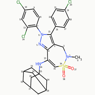 CN1Cc2c(nn(-c3ccc(Cl)cc3Cl)c2-c2ccc(Cl)cc2)C(NC23CC4CC(CC(C4)C2)C3)=CS1(=O)=O